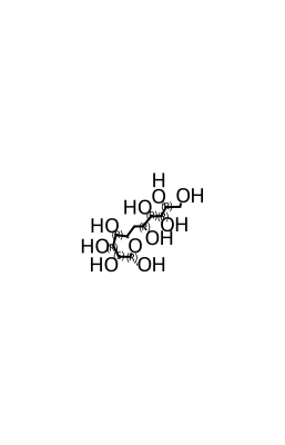 OC[C@@H](O)[C@@H](O)[C@H](O)[C@H](O)CC1O[C@H](CO)[C@@H](O)[C@H](O)[C@H]1O